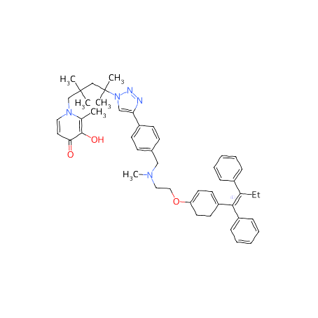 CC/C(=C(/C1=CC=C(OCCN(C)Cc2ccc(-c3cn(C(C)(C)CC(C)(C)Cn4ccc(=O)c(O)c4C)nn3)cc2)CC1)c1ccccc1)c1ccccc1